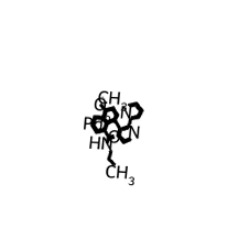 CCCCNC(=O)c1cccc2c(OC)ccc(-c3cccnc3-c3ccccn3)c12.[Pd+2]